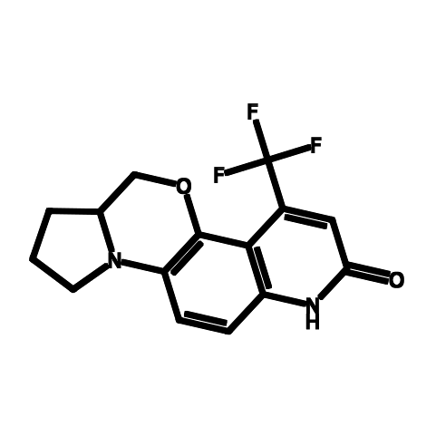 O=c1cc(C(F)(F)F)c2c3c(ccc2[nH]1)N1CCCC1CO3